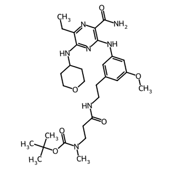 CCc1nc(C(N)=O)c(Nc2cc(CCNC(=O)CCN(C)C(=O)OC(C)(C)C)cc(OC)c2)nc1NC1CCOCC1